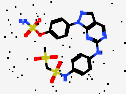 CS(=O)(=O)CS(=O)(=O)Nc1ccc(Nc2ncc3cnn(-c4ccc(OS(N)(=O)=O)cc4)c3n2)cc1